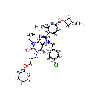 CCn1c(=O)n(CCCOC2CCCCO2)c(=O)c2c1nc(-c1ccc(OC3CC(C)C3)nc1C)n2Cc1ccc(Cl)cc1